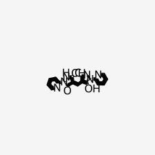 CC1=NN(c2ccccn2)C(=O)/C1=C/c1c(C)nn(-c2ccccn2)c1O